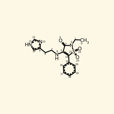 CCN1C(=O)C(NCCc2c[nH]cn2)=C(c2ccccc2)S1(=O)=O